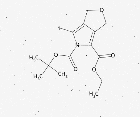 CCOC(=O)c1c2c(c(I)n1C(=O)OC(C)(C)C)COC2